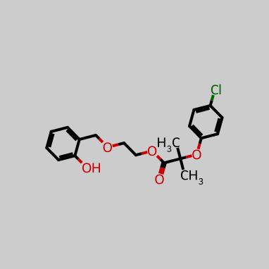 CC(C)(Oc1ccc(Cl)cc1)C(=O)OCCOCc1ccccc1O